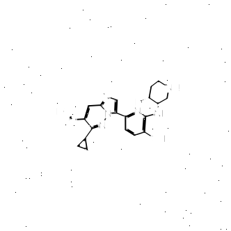 COc1cc2ncc(-c3ccc(C)c(N[C@H]4CNCC[C@@H]4F)n3)n2nc1C1CC1